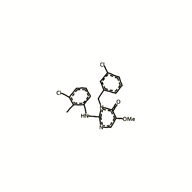 COc1cnc(Nc2cccc(Cl)c2C)n(Cc2cccc(Cl)c2)c1=O